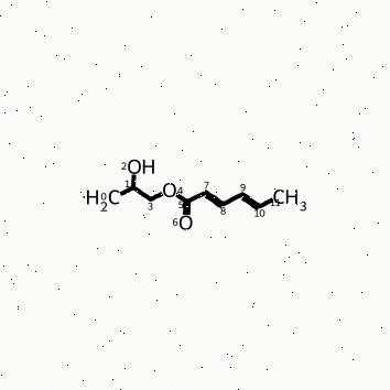 [CH2]C(O)COC(=O)/C=C/C=C/C